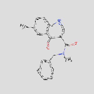 Cc1ccc2[nH]cc(C(=O)N(C)Cc3ccccc3)c(=O)c2c1